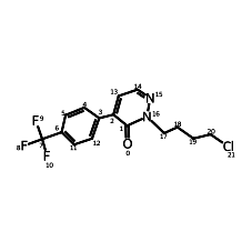 O=c1c(-c2ccc(C(F)(F)F)cc2)ccnn1CCCCCl